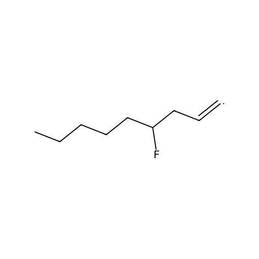 [CH]=CCC(F)CCCCC